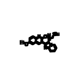 CCOc1ccc2nc(O)c(-c3nc4ccccn4c3NCC(C)(C)C)cc2c1